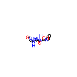 CC(=O)N1CC[C@H](Nc2cc(C(=O)NC[C@H](O)CN3CCc4ccccc4C3)ncn2)C1